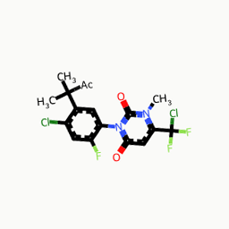 CC(=O)C(C)(C)c1cc(-n2c(=O)cc(C(F)(F)Cl)n(C)c2=O)c(F)cc1Cl